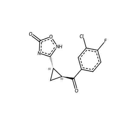 O=C(c1ccc(F)c(Cl)c1)[C@H]1C[C@@H]1c1nc(=O)o[nH]1